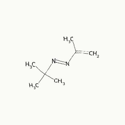 C=C(C)N=NC(C)(C)C